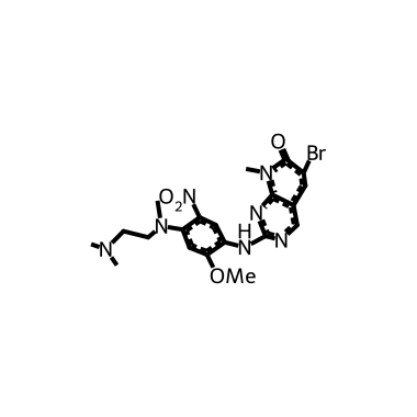 COc1cc(N(C)CCN(C)C)c([N+](=O)[O-])cc1Nc1ncc2cc(Br)c(=O)n(C)c2n1